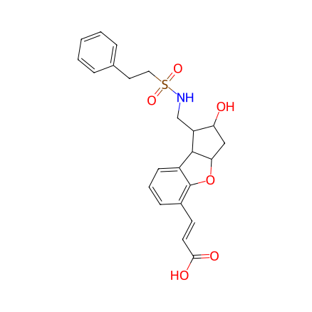 O=C(O)C=Cc1cccc2c1OC1CC(O)C(CNS(=O)(=O)CCc3ccccc3)C21